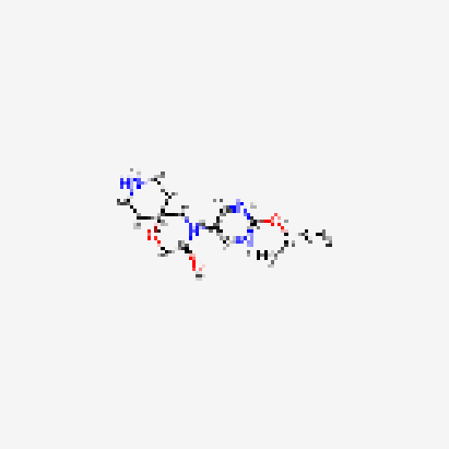 CC(C)Oc1ncc(N2CC3(CCNCC3)OCC2=O)cn1